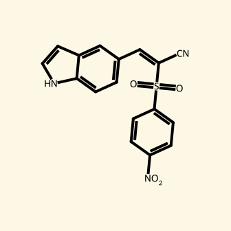 N#C/C(=C/c1ccc2[nH]ccc2c1)S(=O)(=O)c1ccc([N+](=O)[O-])cc1